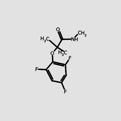 CNC(=O)C(C)(C)Oc1c(F)cc(F)cc1F